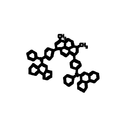 Cc1cc(-c2ccc(N(c3ccccc3)c3cc4ccccc4c4ccccc34)cc2)c2ccc3c(-c4ccc(N(c5ccccc5)c5cc6ccccc6c6ccccc56)cc4)cc(C)c4ccc1c2c43